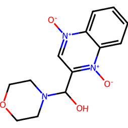 [O-][n+]1cc(C(O)N2CCOCC2)[n+]([O-])c2ccccc21